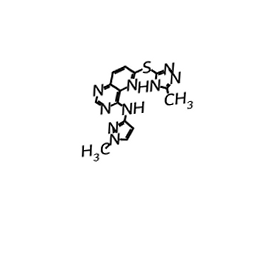 Cc1nnc(Sc2ccc3ncnc(Nc4ccn(C)n4)c3n2)[nH]1